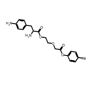 Nc1ccc(CC(N)C(=O)OCCOCC(=O)Oc2ccc(N)cc2)cc1